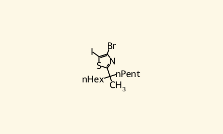 CCCCCCC(C)(CCCCC)c1nc(Br)c(I)s1